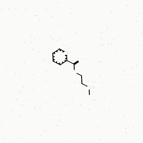 CNCCOC(=O)c1ccccn1